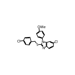 COc1ccc(-n2c(SCc3ccc(Cl)cc3)nc3ccc(Cl)cc32)cc1